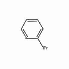 [CH2]C(C)c1[c]cccc1